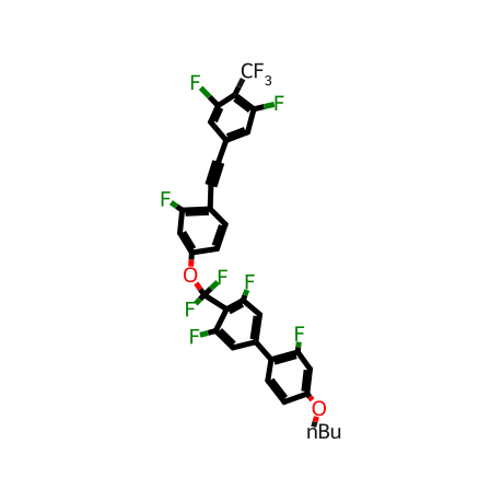 CCCCOc1ccc(-c2cc(F)c(C(F)(F)Oc3ccc(C#Cc4cc(F)c(C(F)(F)F)c(F)c4)c(F)c3)c(F)c2)c(F)c1